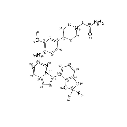 COc1cc(C2CCN(CC(N)=O)CC2)ccc1Nc1ncc2ccc(-c3cccc4c3OC(F)(F)O4)n2n1